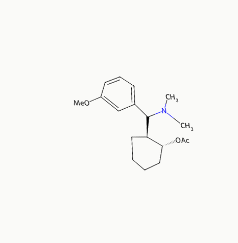 COc1cccc(C([C@@H]2CCCC[C@H]2OC(C)=O)N(C)C)c1